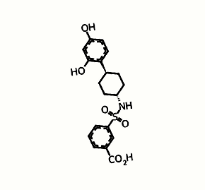 O=C(O)c1cccc(S(=O)(=O)N[C@H]2CC[C@H](c3ccc(O)cc3O)CC2)c1